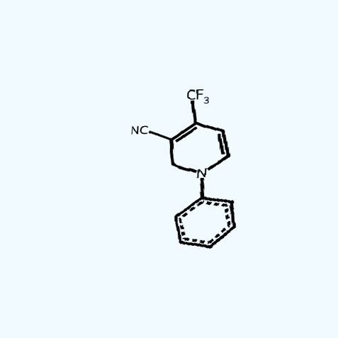 N#CC1=C(C(F)(F)F)C=CN(c2ccccc2)C1